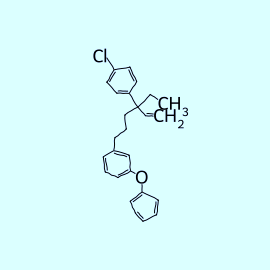 C=CC(CC)(CCCc1cccc(Oc2ccccc2)c1)c1ccc(Cl)cc1